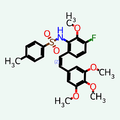 COc1cc(/C=C\c2ccc(F)c(OC)c2NS(=O)(=O)c2ccc(C)cc2)cc(OC)c1OC